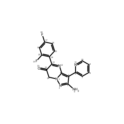 Nc1nn2c(c1-c1ccccn1)N=C(c1ccc(F)cc1F)C(=O)C2